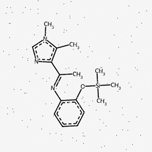 CC(=Nc1ccccc1O[Si](C)(C)C)c1ncn(C)c1C